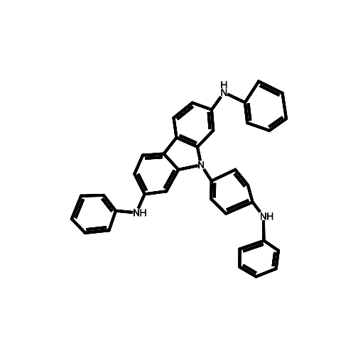 c1ccc(Nc2ccc(-n3c4cc(Nc5ccccc5)ccc4c4ccc(Nc5ccccc5)cc43)cc2)cc1